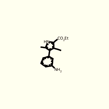 CCOC(=O)c1[nH]c(C)c(-c2cccc(N)c2)c1C